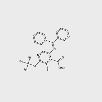 [2H]C([2H])([2H])Oc1ncc(N=C(c2ccccc2)c2ccccc2)c(C(=O)OC)c1F